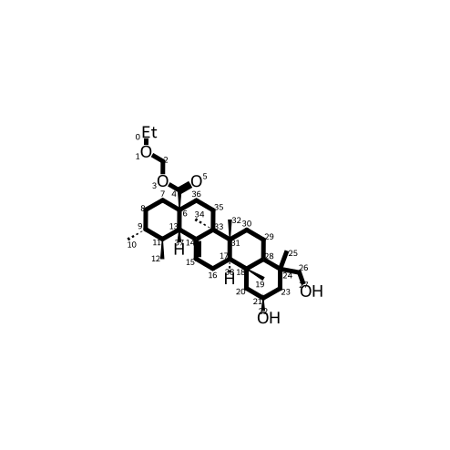 CCOCOC(=O)[C@]12CC[C@@H](C)[C@H](C)[C@H]1C1=CC[C@@H]3[C@@]4(C)C[C@H](O)CC(C)(CO)C4CC[C@@]3(C)[C@]1(C)CC2